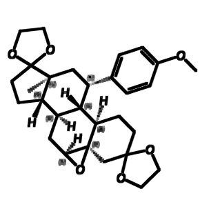 COc1ccc([C@H]2C[C@@]3(C)[C@@H](CCC34OCCO4)[C@@H]3C[C@@H]4O[C@@]45CC4(CC[C@@H]5[C@H]32)OCCO4)cc1